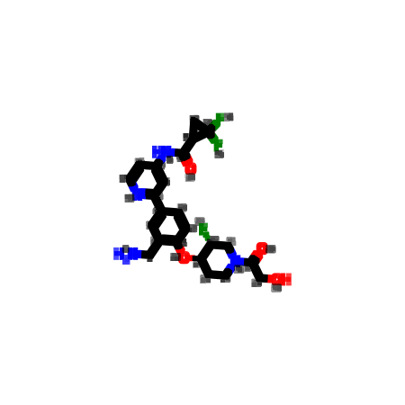 NCc1cc(-c2cc(NC(=O)C3CC3(F)F)ccn2)ccc1O[C@H]1CCN(C(=O)CO)C[C@H]1F